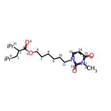 CC(C)CC(C(=O)OCCCCCCn1ccc(=O)n(C)c1=O)C(C)C